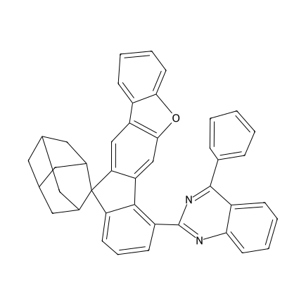 c1ccc(-c2nc(-c3cccc4c3-c3cc5oc6ccccc6c5cc3C43C4CC5CC(C4)CC3C5)nc3ccccc23)cc1